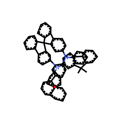 CC1(C)c2ccccc2-c2ccc(N(c3ccccc3)c3ccc4c(c3)C3(c5ccccc5-c5ccc(N(c6ccccc6)c6ccc(-c7cccc8ccccc78)cc6)cc53)c3ccccc3-4)cc21